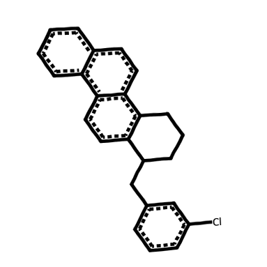 Clc1cccc(CC2CCCc3c2ccc2c3ccc3ccccc32)c1